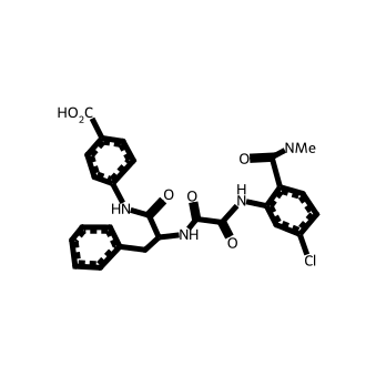 CNC(=O)c1ccc(Cl)cc1NC(=O)C(=O)NC(Cc1ccccc1)C(=O)Nc1ccc(C(=O)O)cc1